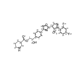 O=C(OC[C@@H](O)c1ccc(-c2noc(-c3cnn(-c4ccc(F)cc4F)c3C(F)(F)F)n2)cc1)C1CCCNC1